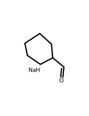 O=CC1CCCCC1.[NaH]